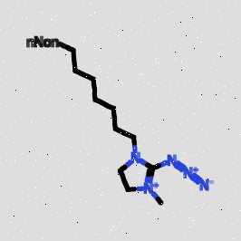 CCCCCCCCCCCCCCCCN1CC[N+](C)=C1N=[N+]=[N-]